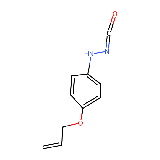 C=CCOc1ccc(NN=C=O)cc1